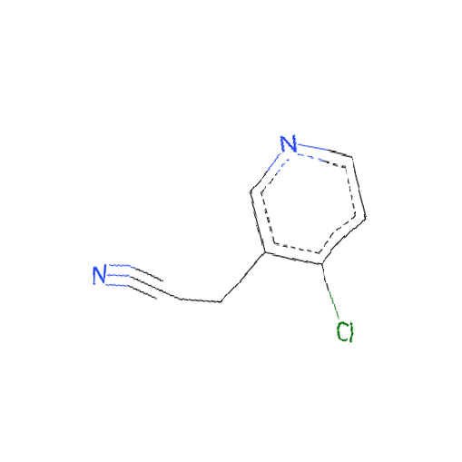 N#CCc1cnccc1Cl